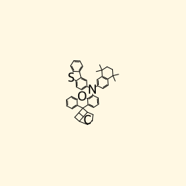 CC1(C)CCC(C)(C)c2cc(N(c3ccc4sc5ccccc5c4c3)c3cccc4c3Oc3ccccc3C43C4CC5CC6CC3C64C5)ccc21